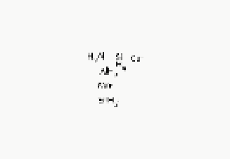 [AlH3].[AlH3].[Cu].[Mn].[SiH4].[SnH2]